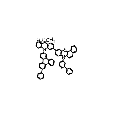 CC1(C)c2ccccc2N(c2ccc3c4ccc(-c5ccccc5)cc4c4ccccc4c3c2)c2cc(-c3ccc4c(c3)Sc3c(ccc5ccccc35)N4c3cccc(-c4ccccc4)c3)ccc21